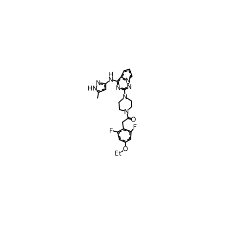 CCOc1cc(F)c(CC(=O)N2CCN(c3nc(Nc4cc(C)[nH]n4)c4cccn4n3)CC2)c(F)c1